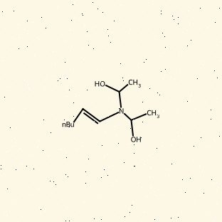 CCCCC=CN(C(C)O)C(C)O